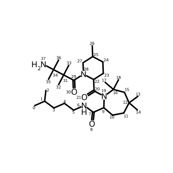 CC(C)CCCNC(=O)C1CCC(C)(C)CC(C)(C)N1C(=O)C1CCC(C)CN1C(=O)C(C)(C)C(C)(C)N